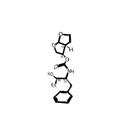 CC[C@@H](O)[C@H](Cc1ccccc1)NC(=O)O[C@H]1COC2OCC[C@H]21